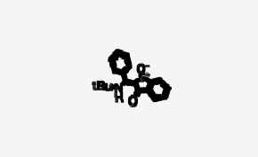 CC(C)(C)NC(=C1C(=O)c2ccccc2[S+]1[O-])c1ccccc1